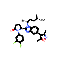 CC[C@H](CC[C@H](C)OC(C)=O)n1c([C@@H]2CCC(=O)N2c2ccc(F)c(F)c2)nc2cc(-c3c(C)noc3C)ccc21